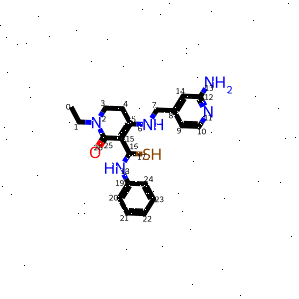 CCN1CCC(NCc2ccnc(N)c2)=C(C(S)Nc2ccccc2)C1=O